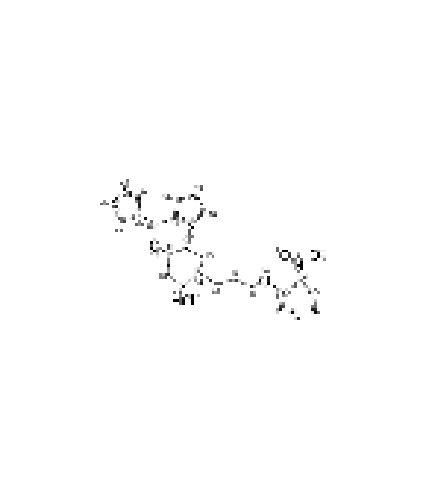 Cl.O=[N+]([O-])c1ccccc1OCCCN1CCC(OC(c2ccsc2)c2cccs2)CC1